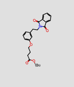 CC(C)(C)OC(=O)CCCOc1cccc(CCN2C(=O)c3ccccc3C2=O)c1